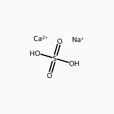 O=S(=O)(O)O.[Ca+2].[Na+]